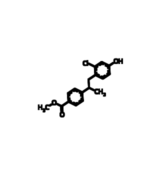 COC(=O)c1ccc(C(C)Cc2ccc(O)cc2Cl)cc1